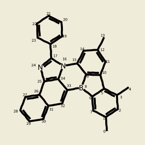 Cc1cc(C)c2c(c1)B1c3c-2cc(C)cc3-n2c(-c3ccccc3)nc3c4ccccc4cc1c32